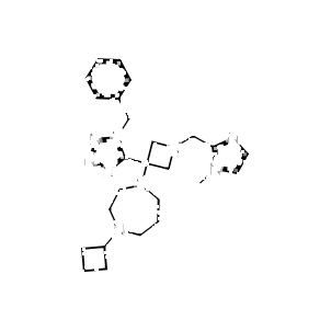 Cn1ccnc1CN1CC(c2nnnn2Cc2ccccc2)(N2CCCN(C3CCC3)CC2)C1